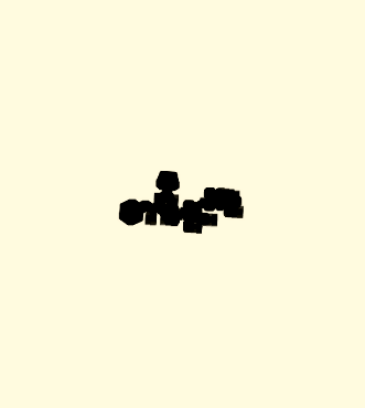 O=P(O)(O)CP(=O)(O)OC[C@H]1O[C@@H](n2cnc3c(NCc4ccccc4)nc(N4CCCC4)nc32)[C@H](O)[C@@H]1O